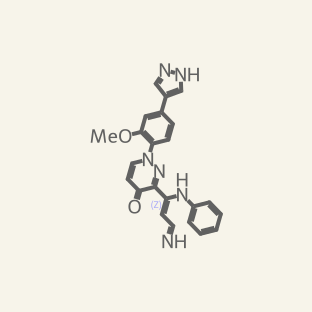 COc1cc(-c2cn[nH]c2)ccc1-n1ccc(=O)c(/C(=C/C=N)Nc2ccccc2)n1